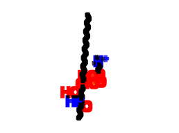 CCCCCCCCCCCCCCCCOCC(O)CNC(=O)CCC.C[N+](C)(C)CCOP(=O)(O)O